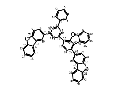 c1ccc(-c2nc(-c3ccc4oc5ccccc5c4c3)nc(-c3ccc(-c4ccc5sc6ccccc6c5c4)c4c3oc3ccccc34)n2)cc1